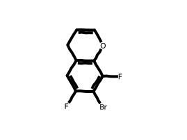 Fc1cc2c(c(F)c1Br)OC=CC2